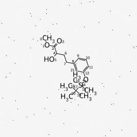 COC(=O)C(O)CCc1cccc(O[Si](C)(C)C(C)(C)C)c1